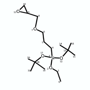 CCO[Si](CCCOCC1CO1)(OC(C)(C)C)OC(C)(C)C